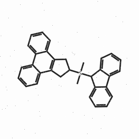 CS(C)(C1Cc2c(c3ccccc3c3ccccc23)C1)C1c2ccccc2-c2ccccc21